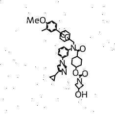 COc1ccc(C23CCC(CN(C(=O)C4CCC(OC(=O)N5CC(O)C5)CC4)c4cccc(-n5cnc(C6CC6)c5)c4)(CC2)CC3)cc1C